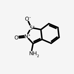 NC1=C2C=CC=CC2[S+]([O-])[N+]1=O